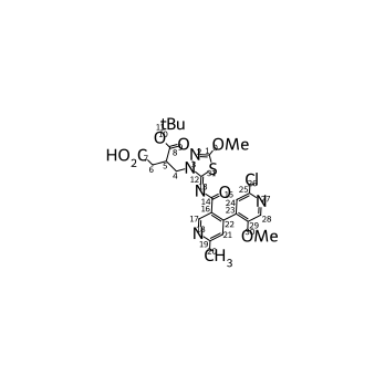 COc1nn(CC(CC(=O)O)C(=O)OC(C)(C)C)/c(=N/C(=O)c2cnc(C)cc2-c2cc(Cl)ncc2OC)s1